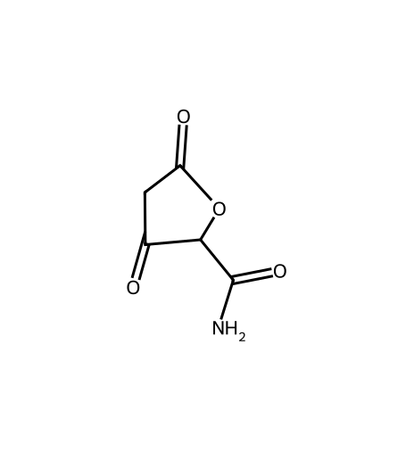 NC(=O)C1OC(=O)CC1=O